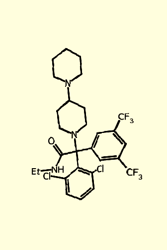 CCNC(=O)C(c1cc(C(F)(F)F)cc(C(F)(F)F)c1)(c1c(Cl)cccc1Cl)N1CCC(N2CCCCC2)CC1